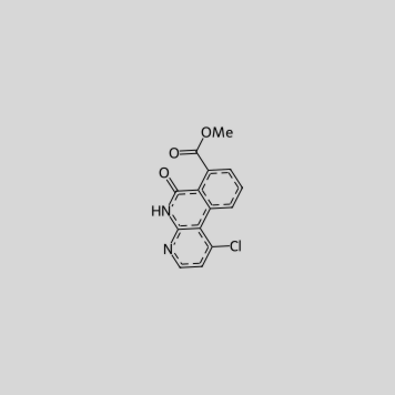 COC(=O)c1cccc2c1c(=O)[nH]c1nccc(Cl)c12